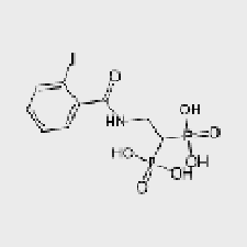 O=C(NCC(P(=O)(O)O)P(=O)(O)O)c1ccccc1I